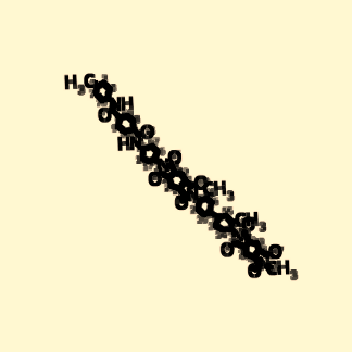 Cc1ccc(NC(=O)c2ccc(C(=O)Nc3ccc(-n4c(=O)c5cc6c(=O)n(-c7ccc(-c8ccc(-n9c(=O)c%10cc%11c(=O)n(C)c(=O)c%11cc%10c9=O)c(C)c8)cc7C)c(=O)c6cc5c4=O)cc3)cc2)cc1